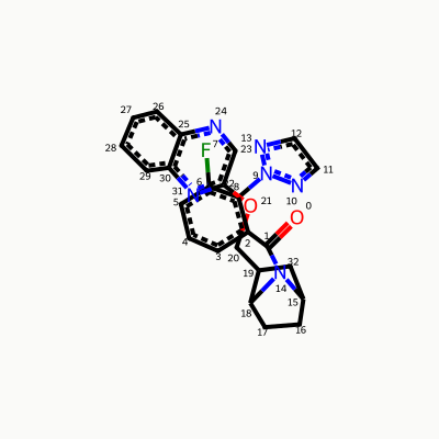 O=C(c1cccc(F)c1-n1nccn1)N1C2CCC1C(COc1cnc3ccccc3n1)C2